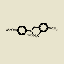 CCCCCCCCCN(Cc1ccc(C)cc1C)c1ccc(OC)cc1